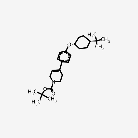 CC(C)(C)OC(=O)N1CC=C(c2ccc(O[C@H]3CC[C@H](C(C)(C)C)CC3)cc2)CC1